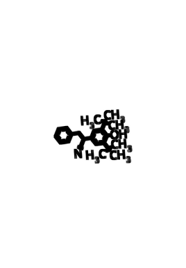 CC(C)(C)c1cc(C(C#N)Cc2ccccc2)cc(C(C)(C)C)c1O